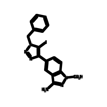 Nc1nn(C(=O)O)c2ccc(-c3nnn(Cc4ccccc4)c3I)cc12